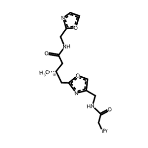 CC(C)CC(=O)NCc1coc(C[C@H](C)CC(=O)NCc2ncco2)n1